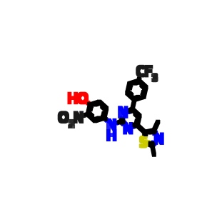 Cc1nc(C)c(-c2cc(-c3ccc(C(F)(F)F)cc3)nc(Nc3ccc(O)c([N+](=O)[O-])c3)n2)s1